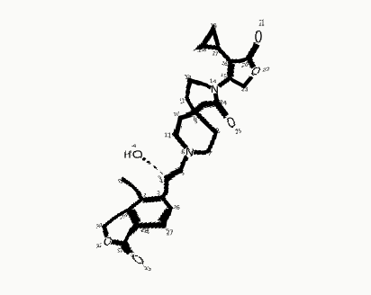 Cc1c([C@H](O)CN2CCC3(CC2)CCN(C2=C(C4CC4)C(=O)OC2)C3=O)ccc2c1COC2=O